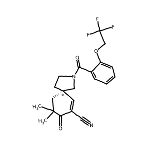 CC1(C)C[C@]2(C=C(C#N)C1=O)CCN(C(=O)c1ccccc1OCC(F)(F)F)C2